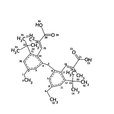 CCc1cc(Cc2cc(CC)cc(C(C)(C)C)c2C=C(C)C(=O)O)c(C=C(C)C(=O)O)c(C(C)(C)C)c1